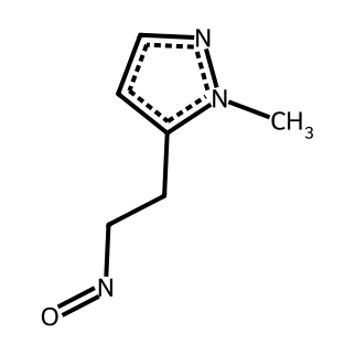 Cn1nccc1CCN=O